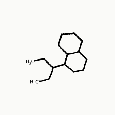 CCC(CC)C1CCCC2CCCCC21